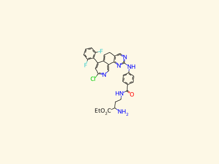 CCOC(=O)C(N)CCNC(=O)c1ccc(Nc2ncc3c(n2)C2=CN=C(Cl)C=C(c4c(F)cccc4F)C2=CC3)cc1